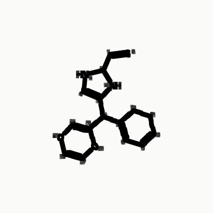 S=CC1NC=C(C(C2=CC=CCC2)C2=COC=CO2)N1